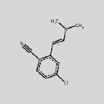 CN(C)/C=C/c1cc(Cl)ccc1C#N